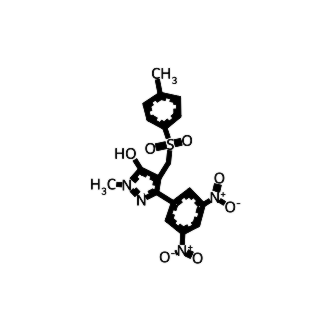 Cc1ccc(S(=O)(=O)Cc2c(-c3cc([N+](=O)[O-])cc([N+](=O)[O-])c3)nn(C)c2O)cc1